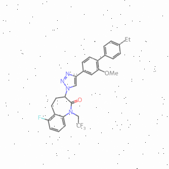 CCc1ccc(-c2ccc(-c3cn(C4CCc5c(F)cccc5N(CC(F)(F)F)C4=O)nn3)cc2OC)cc1